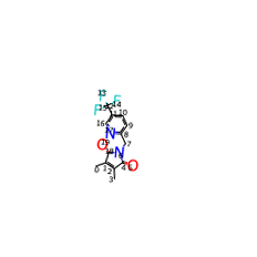 CC1=C(C)C(=O)N(Cc2ccc(C(F)(F)F)cn2)C1=O